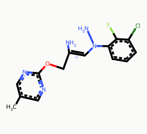 Cc1cnc(OC/C(N)=C/N(N)c2cccc(Cl)c2F)nc1